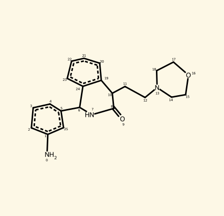 Nc1cccc(C2NC(=O)C(CCN3CCOCC3)c3ccccc32)c1